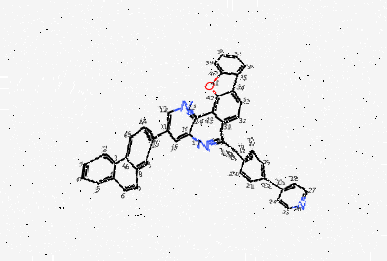 c1ccc2c(c1)ccc1cc(-c3cnc4c(c3)nc(-c3ccc(-c5ccncc5)cc3)c3ccc5c6ccccc6oc5c34)ccc12